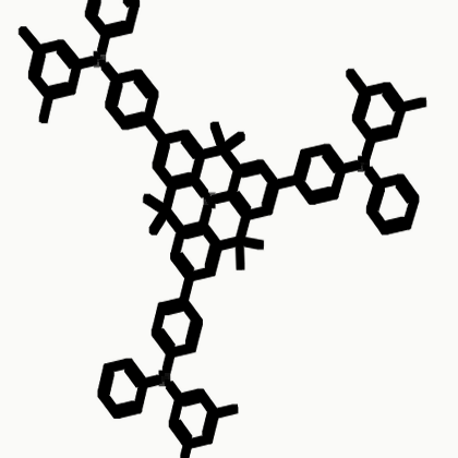 Cc1cc(C)cc(N(c2ccccc2)c2ccc(-c3cc4c5c(c3)C(C)(C)c3cc(-c6ccc(N(c7ccccc7)c7cc(C)cc(C)c7)cc6)cc6c3N5c3c(cc(-c5ccc(N(c7ccccc7)c7cc(C)cc(C)c7)cc5)cc3C6(C)C)C4(C)C)cc2)c1